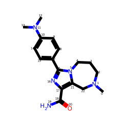 CN1CCCn2c(-c3ccc(N(C)C)cc3)nc(C(N)=O)c2C1